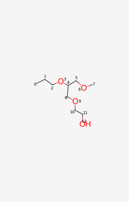 CCCOC(COC)COCCO